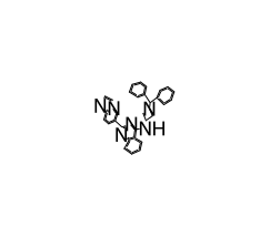 c1ccc(C(c2ccccc2)N2CC(Nc3nc(-c4ccc5nccn5c4)nc4ccccc34)C2)cc1